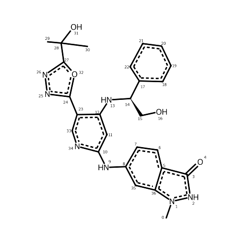 Cn1[nH]c(=O)c2ccc(Nc3cc(N[C@H](CO)c4ccccc4)c(-c4nnc(C(C)(C)O)o4)cn3)cc21